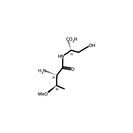 CO[C@H](C)[C@H](N)C(=O)N[C@@H](CO)C(=O)O